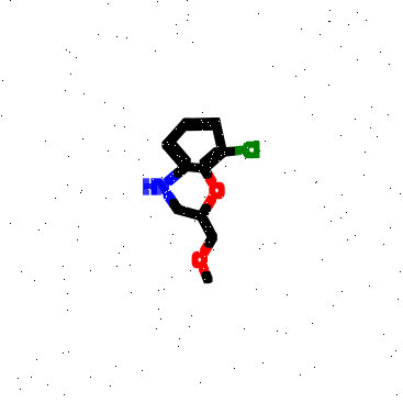 COCC1CNc2cccc(Cl)c2O1